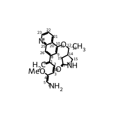 C=C(/C=C\C(=C/N)OC)c1cc(O[C@H](C)[C@H]2CNC(=O)C2)c2cccnc2c1